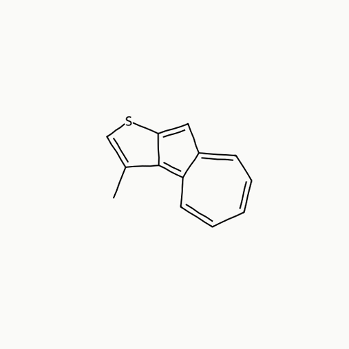 Cc1csc2cc3cccccc-3c12